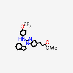 COC(=O)CCc1ccc2c(c1)nc(Nc1ccc(OC(F)(F)F)cc1)n2[C@@H]1CCc2ccccc21